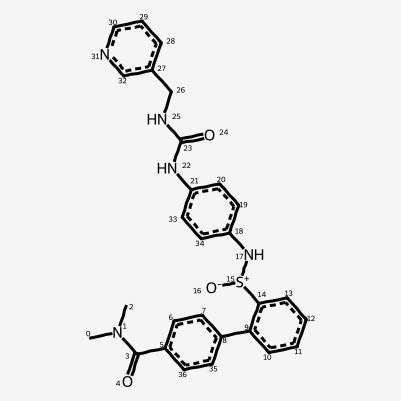 CN(C)C(=O)c1ccc(-c2ccccc2[S+]([O-])Nc2ccc(NC(=O)NCc3cccnc3)cc2)cc1